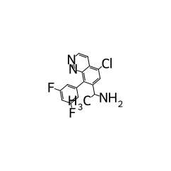 CC(N)c1cc(Cl)c2ccnnc2c1-c1cc(F)cc(F)c1